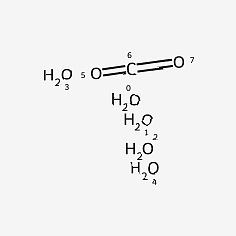 O.O.O.O.O.O=C=O